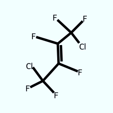 FC(=C(F)C(F)(F)Cl)C(F)(F)Cl